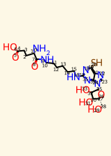 NC(CCC(=O)O)C(=O)NCCCCCCNc1nc(S)c2ncn([C@@H]3O[C@H](CO)[C@H](O)C3O)c2n1